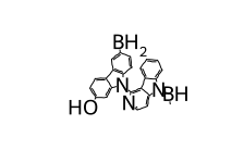 Bc1ccc2c(c1)c1ccc(O)cc1n2-c1nccc2c1c1ccccc1n2BC